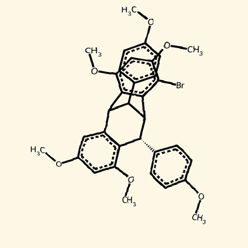 COc1ccc(C2C3c4cc(OC)cc(OC)c4[C@@H](c4ccc(OC)cc4)C2c2c(Br)c(OC)cc(OC)c23)cc1